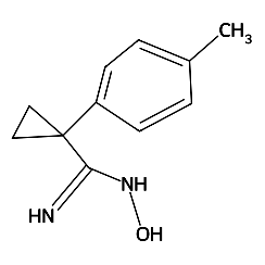 Cc1ccc(C2(C(=N)NO)CC2)cc1